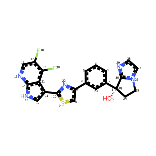 O[C@@]1(c2cccc(-c3csc(-c4c[nH]c5ncc(F)c(F)c45)n3)c2)CCn2ccnc21